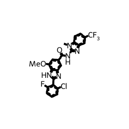 COc1cc(C(=O)Nc2nc3cc(C(F)(F)F)ccc3n2C)cc2nc(-c3c(F)cccc3Cl)[nH]c12